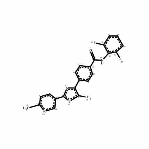 Cc1ccc(-c2nc(-c3ccc(C(=O)Nc4c(F)cccc4F)cc3)c(C)s2)cn1